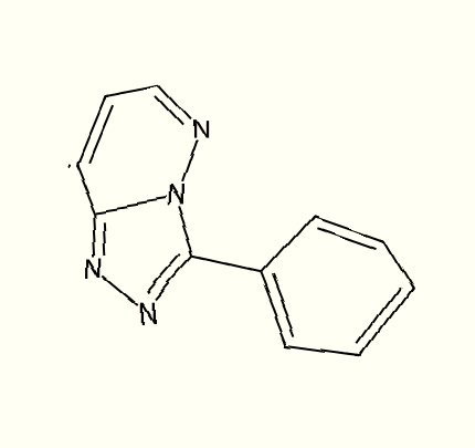 [c]1ccnn2c(-c3ccccc3)nnc12